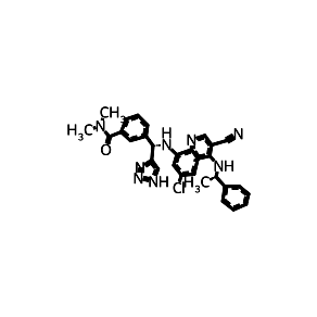 C[C@@H](Nc1c(C#N)cnc2c(N[C@@H](c3cccc(C(=O)N(C)C)c3)c3c[nH]nn3)cc(Cl)cc12)c1ccccc1